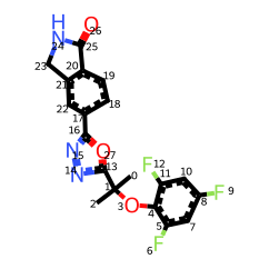 CC(C)(Oc1c(F)cc(F)cc1F)c1nnc(-c2ccc3c(c2)CNC3=O)o1